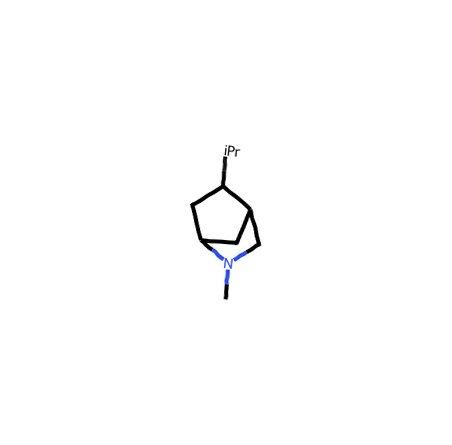 CC(C)C1CC2CC1CN2C